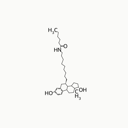 CCCCCC(=O)NCCCCCCCCC[C@@H]1Cc2cc(O)ccc2C2CC[C@@]3(C)C(CC[C@@H]3O)C21